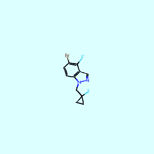 Fc1c(Br)ccc2c1cnn2CC1(F)CC1